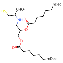 CCCCCCCCCCCCCCCC(=O)OCC(CNC([C]=O)CS)OC(=O)CCCCCCCCCCCCCCC